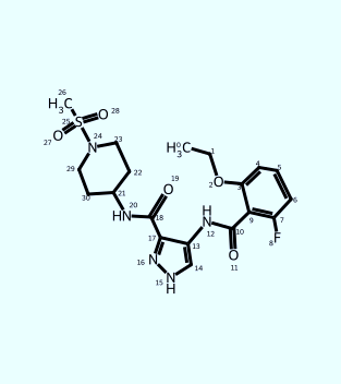 CCOc1cccc(F)c1C(=O)Nc1c[nH]nc1C(=O)NC1CCN(S(C)(=O)=O)CC1